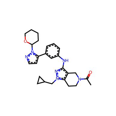 CC(=O)N1CCc2c(c(Nc3cccc(-c4ccnn4C4CCCCO4)c3)nn2CC2CC2)C1